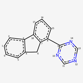 c1ccc2c(c1)Cc1c(-c3ncncn3)cccc1-2